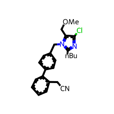 CCCCc1nc(Cl)c(COC)n1Cc1ccc(-c2ccccc2CC#N)cc1